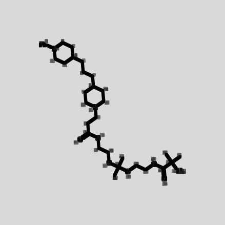 CC(C)N1CCC(CCCC2CCN(CCC(=O)OCCOC(C)(C)OCCOC(=O)C(C)(C)C(C)(C)C)CC2)CC1